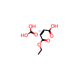 CCOC(=O)/C=C\C(=O)O.O=C(O)O